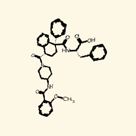 COc1ccccc1C(=O)NC1CCN(C(=O)[C@H]2CC[C@@](C(=O)N[C@@H](Cc3ccccc3)C(=O)O)(c3ccccc3)c3ccccc32)CC1